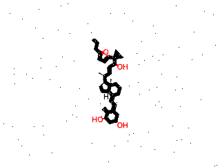 C=C1/C(=C\C=C2/CCC[C@]3(C)[C@@H]([C@H](C)/C=C/[C@H](O)C4(c5ccc(CCC)o5)CC4)CC[C@@H]23)C[C@@H](O)C[C@@H]1O